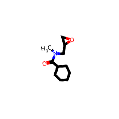 CN(CC1CO1)C(=O)C1CCCCC1